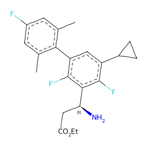 CCOC(=O)C[C@H](N)c1c(F)c(-c2c(C)cc(F)cc2C)cc(C2CC2)c1F